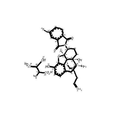 C=CCN1CC[C@]23c4c5ccc(O)c4O[C@H]2[C@@H](N2C(=O)c4ccc(F)cc4C2=O)CC[C@@]3(O)[C@H]1C5.O=C(O)C(O)C(O)C(=O)O